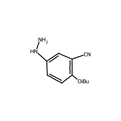 CC(C)COc1ccc(NN)cc1C#N